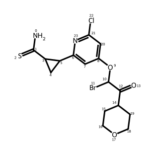 NC(=S)C1CC1c1cc(OC(Br)C(=O)C2CCOCC2)cc(Cl)n1